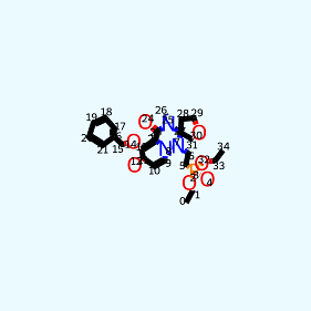 CCOP(=O)(CCN1n2ccc(=O)c(OCc3ccccc3)c2C(=O)N(C)C12CCOC2)OCC